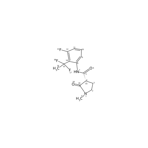 CN1CC[C@@H](C(=O)Nc2cccc(F)c2C(C)(F)F)C1=O